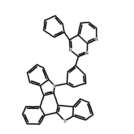 c1ccc(-c2nc(-c3cccc(-n4c5ccccc5c5c6ccccc6c6sc7ccccc7c6c54)c3)nc3ncccc23)cc1